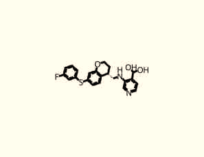 OC(O)c1ccncc1NC[C@H]1CCOc2cc(Sc3cccc(F)c3)ccc21